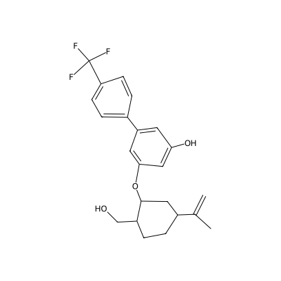 C=C(C)C1CCC(CO)C(Oc2cc(O)cc(-c3ccc(C(F)(F)F)cc3)c2)C1